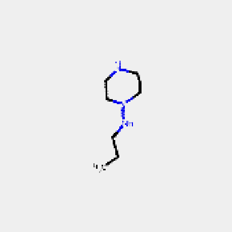 CCCNN1CCNCC1